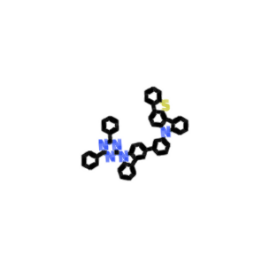 c1ccc(-c2nc(-c3ccccc3)nc(-n3c4ccccc4c4cc(-c5cccc(-n6c7ccccc7c7c8sc9ccccc9c8ccc76)c5)ccc43)n2)cc1